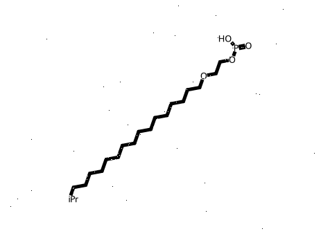 CC(C)CCCCCCCCCCCCCCCCOCCO[P](=O)O